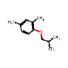 C[C](C)COc1ccc(C)cc1C